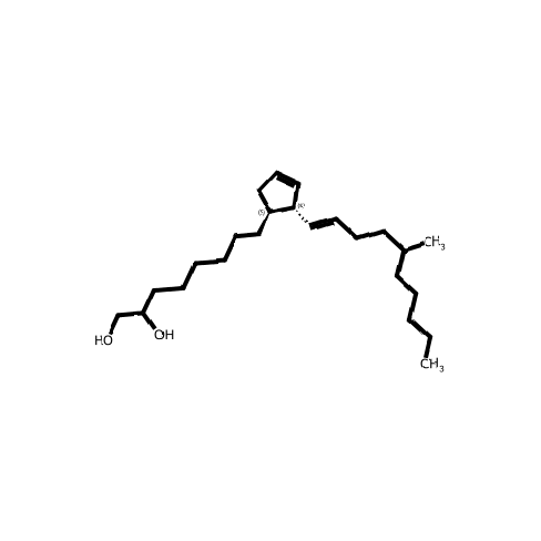 CCCCCC(C)CCC=C[C@H]1C=CC[C@@H]1CCCCCCC(O)CO